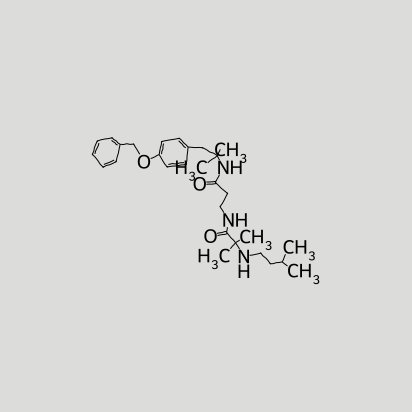 CC(C)CCNC(C)(C)C(=O)NCCC(=O)NC(C)(C)Cc1ccc(OCc2ccccc2)cc1